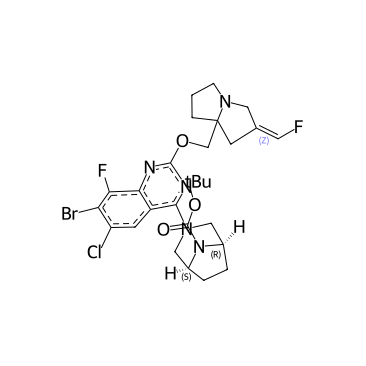 CC(C)(C)OC(=O)N1[C@@H]2CC[C@H]1CN(c1nc(OCC34CCCN3C/C(=C\F)C4)nc3c(F)c(Br)c(Cl)cc13)C2